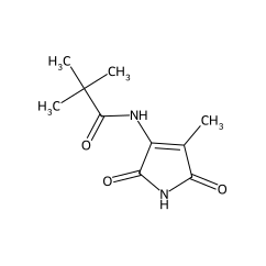 CC1=C(NC(=O)C(C)(C)C)C(=O)NC1=O